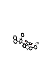 N#Cc1cccc(-c2ccc3c(c2)C2(c4cc(-c5nc(-c6ccccc6)nc(-c6cccc7ccccc67)n5)ccc4S3)c3ccccc3-c3ccccc32)c1